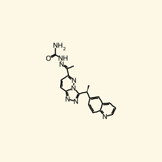 C/C(=N\NC(N)=O)c1ccc2nnc([C@@H](C)c3ccc4ncccc4c3)n2n1